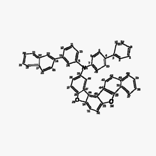 c1ccc(-c2ccc(N(c3cccc(-c4ccc5ccccc5c4)c3)c3ccc4oc5ccc6oc7c8ccccc8ccc7c6c5c4c3)cc2)cc1